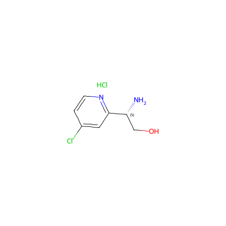 Cl.N[C@H](CO)c1cc(Cl)ccn1